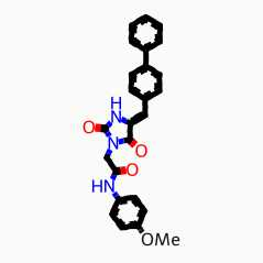 COc1ccc(NC(=O)CN2C(=O)N/C(=C\c3ccc(-c4ccccc4)cc3)C2=O)cc1